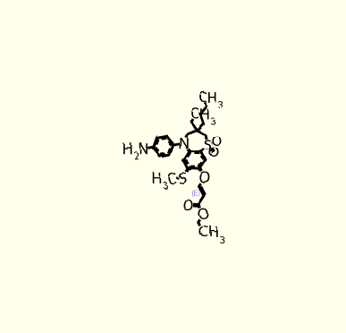 CCCCC1(CC)CN(c2ccc(N)cc2)c2cc(SC)c(O/C=C/C(=O)OCC)cc2S(=O)(=O)C1